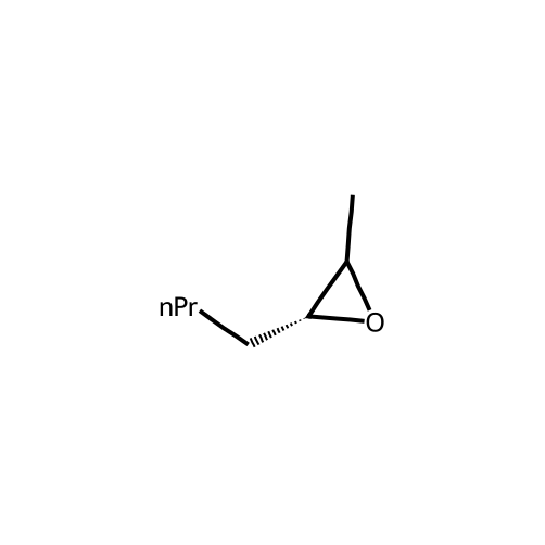 CCCC[C@H]1OC1C